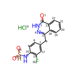 Cl.O=c1[nH]nc(Cc2ccc(N[SH](=O)=O)c(F)c2)c2ccccc12